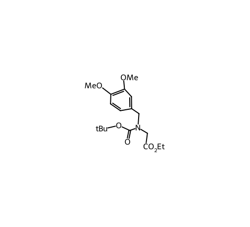 CCOC(=O)CN(Cc1ccc(OC)c(OC)c1)C(=O)OC(C)(C)C